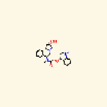 CN1CCC(OCC(=O)N(C)C(CN2CC[C@H](O)C2)c2ccccc2)c2ccccc21